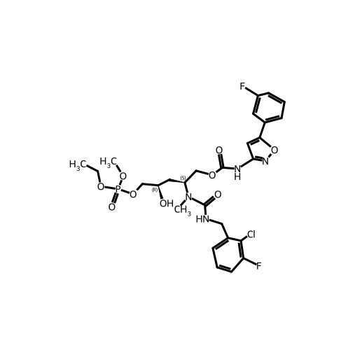 CCOP(=O)(OC)OC[C@H](O)C[C@@H](COC(=O)Nc1cc(-c2cccc(F)c2)on1)N(C)C(=O)NCc1cccc(F)c1Cl